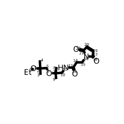 CCOC(C)(C)COC(C)(C)CNC(=O)CCN1C(=O)C=CC1=O